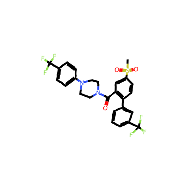 CS(=O)(=O)c1ccc(-c2cccc(C(F)(F)F)c2)c(C(=O)N2CCN(c3ccc(C(F)(F)F)cc3)CC2)c1